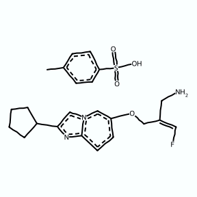 Cc1ccc(S(=O)(=O)O)cc1.NC/C(=C/F)COc1ccc2nc(C3CCCC3)cn2c1